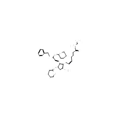 CCNC(=O)CCC/C=C\C[C@@H]1[C@H](C=C[C@H](CCc2ccccc2)OC2CCCCO2)[C@H](OC2CCCCO2)C[C@H]1O